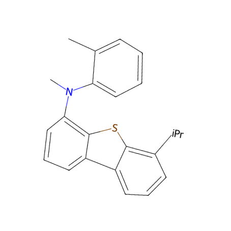 Cc1ccccc1N(C)c1cccc2c1sc1c(C(C)C)cccc12